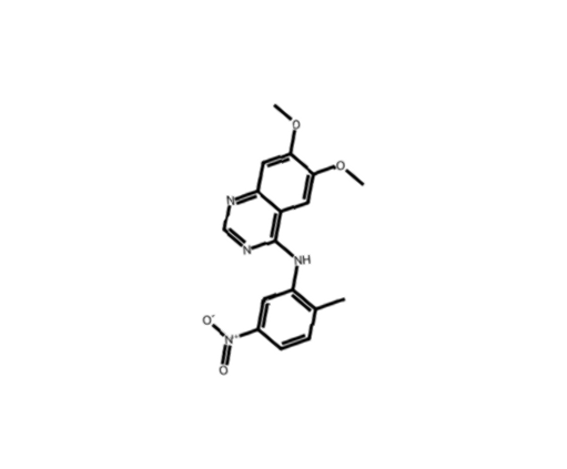 COc1cc2ncnc(Nc3cc([N+](=O)[O-])ccc3C)c2cc1OC